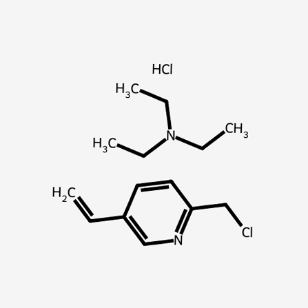 C=Cc1ccc(CCl)nc1.CCN(CC)CC.Cl